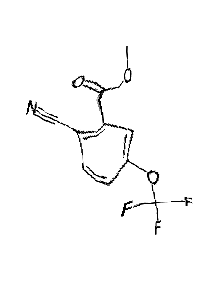 COC(=O)c1cc(OC(F)(F)F)ccc1C#N